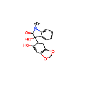 C[CH]CN1C(=O)C(O)(c2cc3c(cc2O)OCO3)c2ccccc21